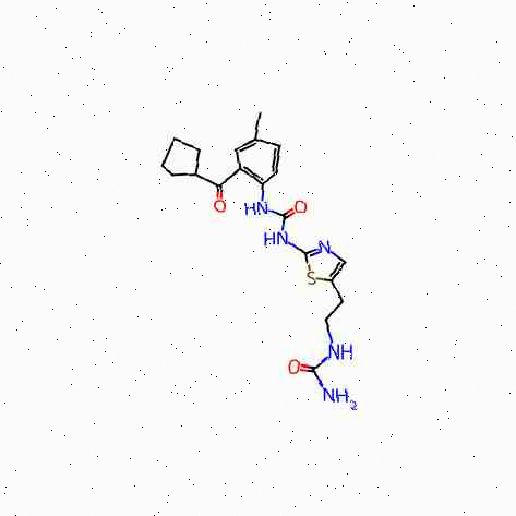 Cc1ccc(NC(=O)Nc2ncc(CCNC(N)=O)s2)c(C(=O)C2CCCC2)c1